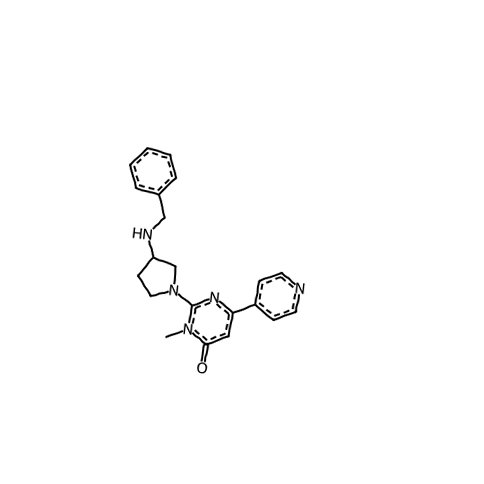 Cn1c(N2CCC(NCc3ccccc3)C2)nc(-c2ccncc2)cc1=O